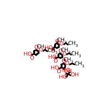 CCCCOc1ccc(C(=O)O)cc1OC.CCCCOc1ccc(C(=O)O)cc1OC.CCCCOc1ccc(C(=O)O)cc1OC.CCCCOc1ccc(C(=O)O)cc1OC.OCC(CO)(CO)CO